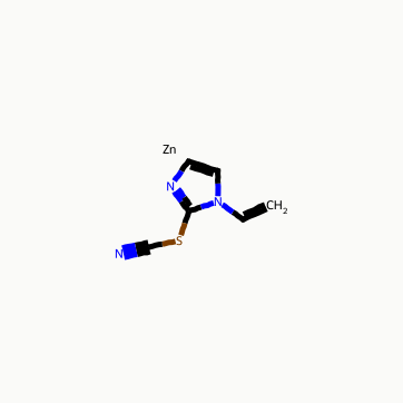 C=Cn1ccnc1SC#N.[Zn]